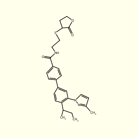 CCC(C)c1ccc(-c2ccc(C(=O)NCCSC3CCOC3=O)cc2)cc1-n1ccc(C)n1